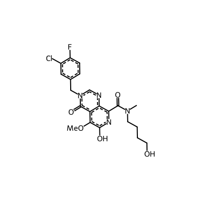 COc1c(O)nc(C(=O)N(C)CCCCO)c2ncn(Cc3ccc(F)c(Cl)c3)c(=O)c12